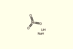 [LiH].[NaH].[O]=[Nb](=[O])=[O]